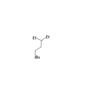 CC[C](CC)CCC(C)CC